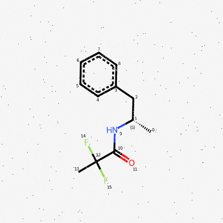 C[C@@H](Cc1ccccc1)NC(=O)C(C)(F)F